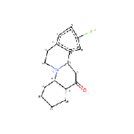 O=C1CC2c3cc(F)ccc3CCN2C2CCCCC12